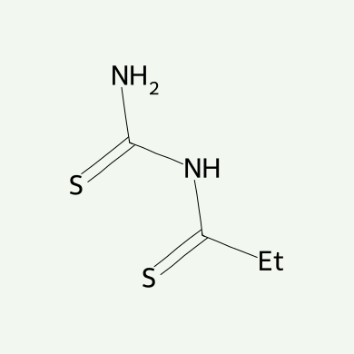 CCC(=S)NC(N)=S